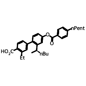 CCCCCc1ccc(C(=O)Oc2ccc(-c3ccc(C(=O)O)c(CC)c3)c([C@H](C)CCCC)c2)cc1